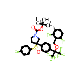 CC(C)(C)OC(=O)N1CCC(c2ccc(C(OCc3c(F)cccc3F)(C(F)(F)F)C(F)(F)F)cc2)([S+]([O-])c2ccc(F)cc2)C1